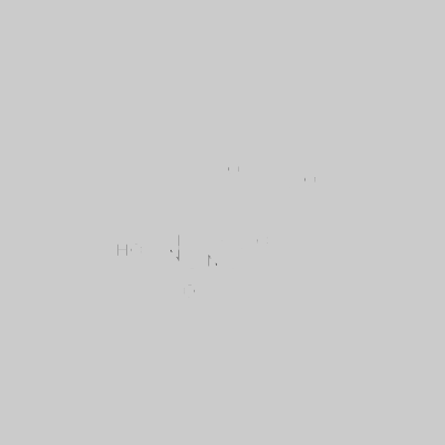 COc1cc(OC)cc(OC2CN(C(=O)NCO)C2)c1